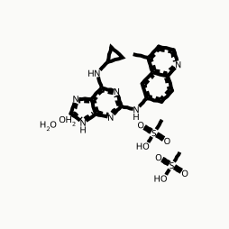 CS(=O)(=O)O.CS(=O)(=O)O.Cc1ccnc2ccc(Nc3nc(NC4CC4)c4nc[nH]c4n3)cc12.O.O